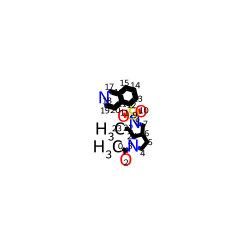 CC(=O)N1CCC2CN(S(=O)(=O)c3cccc4cnccc34)C(C)C21